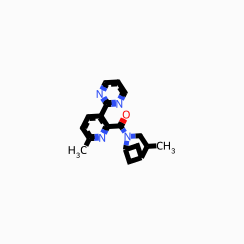 Cc1ccc(-c2ncccn2)c(C(=O)N2CC(C)C3CC2C3)n1